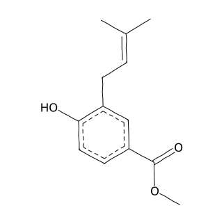 COC(=O)c1ccc(O)c(CC=C(C)C)c1